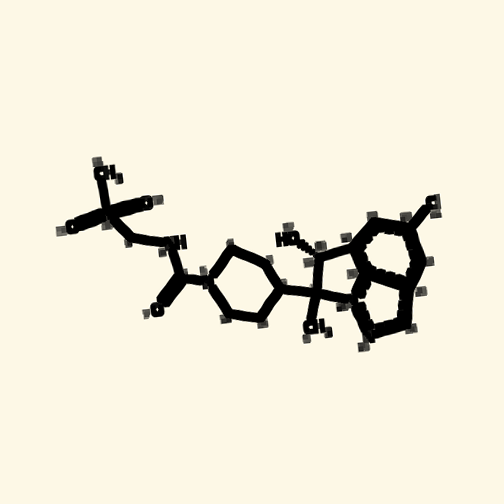 CC1(C2CCN(C(=O)NCS(C)(=O)=O)CC2)[C@H](O)c2cc(Cl)cc3cnn1c23